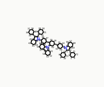 c1ccc(-c2c(-c3ccccc3)n(-c3ccc(-c4ccc(-c5ccc(-n6c(-c7ccccc7)c(-c7ccccc7)c7ccccc76)cc5)c(-n5c6ccccc6c6ccccc65)c4)cc3)c3ccccc23)cc1